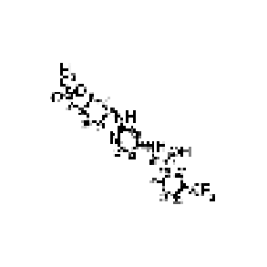 CS(=O)(=O)Cc1ccc(Nc2nccc(NCC(O)c3cccc(C(F)(F)F)c3)n2)cc1